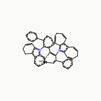 C#C/C=C(\C(=C(/C)c1cccc(-c2ccccc2)c1-n1c2c(c3ccccc31)CCC=C2)n1c2c(c3c1C=CCC=C3)C=CCC=C2)c1ccccc1